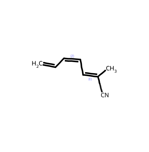 C=C/C=C\C=C(/C)C#N